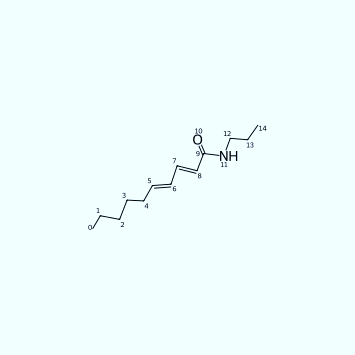 CCCCC/C=C/C=C/C(=O)NCCC